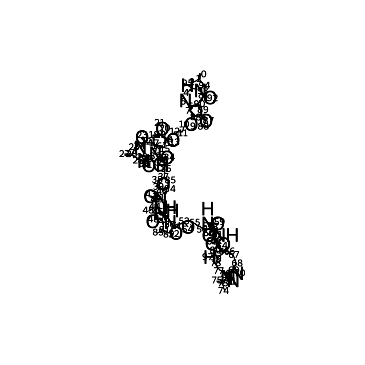 C=C1C[C@H]2C=Nc3cc(OCCCOc4cc5c(cc4OC)C(=O)N4CC(=C)C[C@H]4[C@H](O)N5C(=O)OCc4ccc(NC(=O)[C@H](C)NC(=O)[C@@H](NC(=O)COCCNS(=O)(=O)NC(=O)OC56CCCc7nnn(C(C)C)c7CC[C@H]5C6)C(C)C)cc4)c(OC)cc3C(=O)N2C1